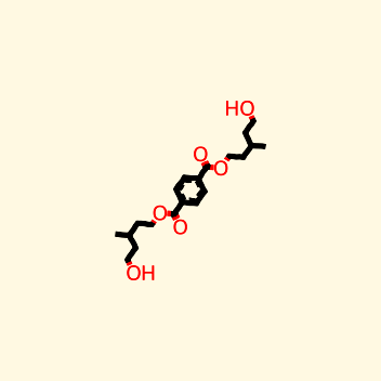 CC(CCO)CCOC(=O)c1ccc(C(=O)OCCC(C)CCO)cc1